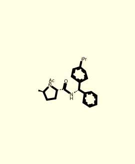 CC(=O)N1[C@H](C)CC[C@H]1C(=O)N[C@@H](c1ccccc1)c1ccc(C(C)C)cc1